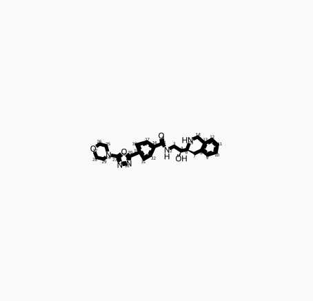 O=C(NC[C@@H](O)[C@@H]1Cc2ccccc2CN1)c1ccc(-c2nnc(N3CCOCC3)o2)cc1